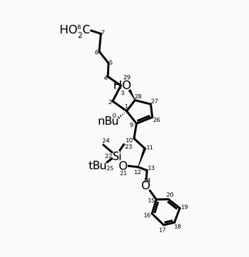 CCCC[C@@]1(CCCCCCC(=O)O)C(CC[C@@H](COc2ccccc2)O[Si](C)(C)C(C)(C)C)=CC[C@@H]1O